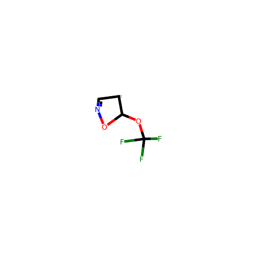 FC(F)(F)OC1[C]C=NO1